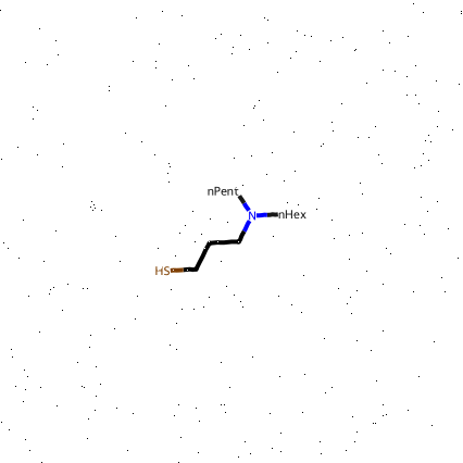 CCCCCCN(CCCS)CCCCC